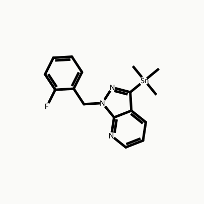 [CH3][Sn]([CH3])([CH3])[c]1nn(Cc2ccccc2F)c2ncccc12